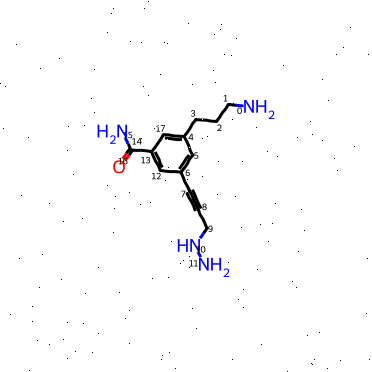 NCCCc1cc(C#CCNN)cc(C(N)=O)c1